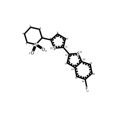 O=S1(=O)CCCC[C]1c1ccc(-c2cc3cc(F)ccc3s2)s1